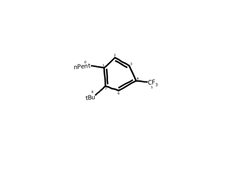 CCCCCc1ccc(C(F)(F)F)cc1C(C)(C)C